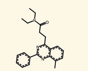 CCN(CC)C(=O)CCc1nc(-c2ccccc2)nc2c(C)cccc12